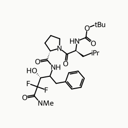 CNC(=O)C(F)(F)[C@H](O)C(Cc1ccccc1)NC(=O)[C@@H]1CCCN1C(=O)[C@H](CC(C)C)NC(=O)OC(C)(C)C